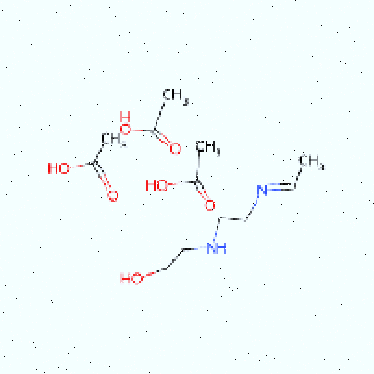 CC(=O)O.CC(=O)O.CC(=O)O.CC=NCCNCCO